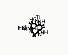 CCc1n[nH]c(CC)c1B(c1c(CC)n[nH]c1CC)c1c(CC)n[nH]c1CC.Cl.Cl.Cl.[Ti]